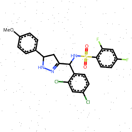 COc1ccc(C2CC(C(NS(=O)(=O)c3ccc(F)cc3F)c3ccc(Cl)cc3Cl)=NN2)cc1